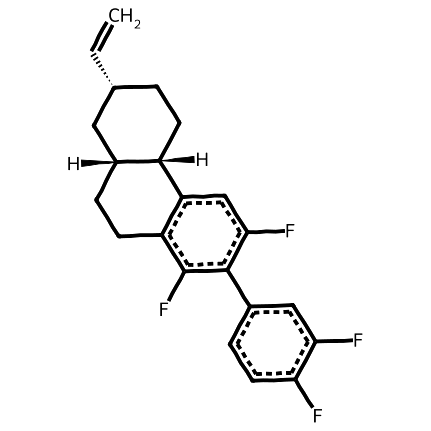 C=C[C@@H]1CC[C@@H]2c3cc(F)c(-c4ccc(F)c(F)c4)c(F)c3CC[C@@H]2C1